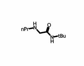 CCCNCC(=O)NC(C)(C)C